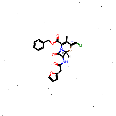 CC1=C(C(=O)OCc2ccccc2)N2C(=O)C(NC(=O)Cc3ccco3)[C@H]2S/C1=C\Cl